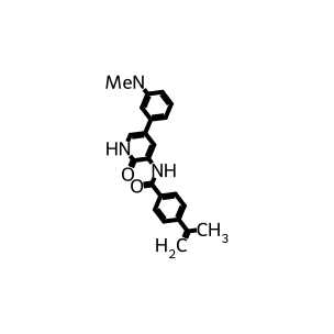 C=C(C)c1ccc(C(=O)Nc2cc(-c3cccc(NC)c3)c[nH]c2=O)cc1